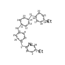 [CH2-][CH+]c1ccc(Cc2ccc(Cc3ccc(Cc4ccc(CC)cc4)cc3)cc2)nc1